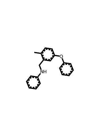 Cc1ccc(Oc2ccccc2)cc1CNc1ccccc1